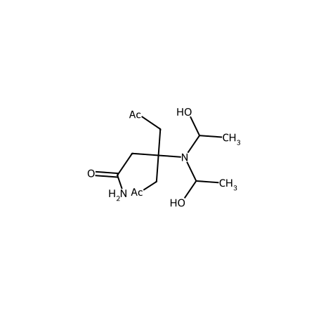 CC(=O)CC(CC(C)=O)(CC(N)=O)N(C(C)O)C(C)O